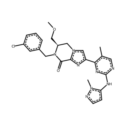 COC[C@H]1Cn2cc(-c3nc(Nc4ccnn4C)ncc3C)nc2C(=O)N1Cc1cccc(Cl)c1